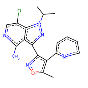 Cc1onc(-c2nn(C(C)C)c3c(Cl)cnc(N)c23)c1-c1ccccn1